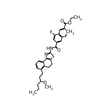 CCCC(CCc1cccc2c1CCc1sc(NC(=O)c3cc(F)c(C=C(C)C(=O)OCC)c(F)c3)nc1-2)OC